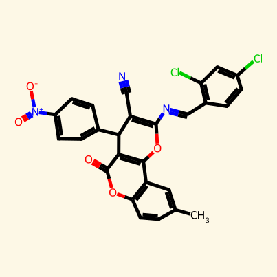 Cc1ccc2oc(=O)c3c(c2c1)OC(N=Cc1ccc(Cl)cc1Cl)=C(C#N)C3c1ccc([N+](=O)[O-])cc1